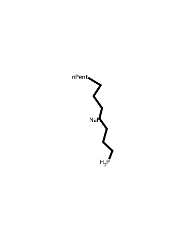 CCCCCCCCCCCCP.[NaH]